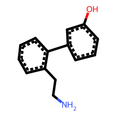 NCCc1ccccc1-c1cccc(O)c1